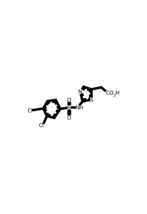 O=C(O)Cc1cnc(NS(=O)(=O)c2ccc(Cl)c(Cl)c2)s1